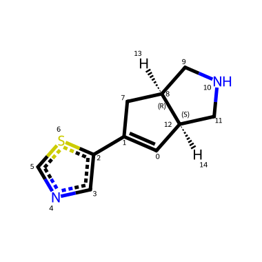 C1=C(c2cncs2)C[C@H]2CNC[C@@H]12